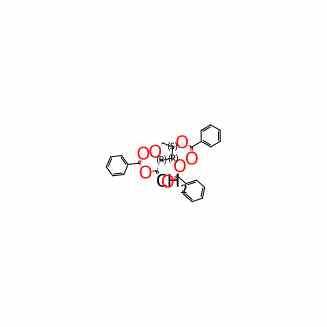 C=C(OC(=O)c1ccccc1)[C@@H]1OC[C@H](OC(=O)c2ccccc2)[C@H]1OC(=O)c1ccccc1